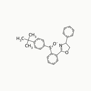 CC(C)(C)c1ccc([S@@+]([O-])c2ccccc2C2=NC(c3ccccc3)CO2)cc1